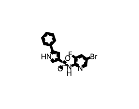 O=S(=O)(Nc1ncc(Br)cc1F)c1c[nH]c(-c2ccccc2)c1